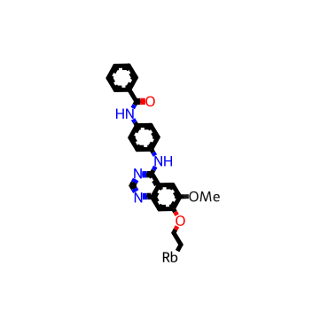 COc1cc2c(Nc3ccc(NC(=O)c4ccccc4)cc3)ncnc2cc1OC[CH2][Rb]